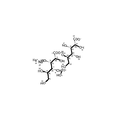 CCO.O=C([O-])[C@H](O)[C@@H](O)[C@H](O)[C@H](O)CO.O=C([O-])[C@H](O)[C@@H](O)[C@H](O)[C@H](O)CO.[Na+].[Na+]